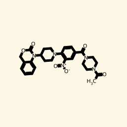 CC(=O)N1CCN(C(=O)c2ccc(N3CCC(N4C(=O)OCc5ccccc54)CC3)c([N+](=O)[O-])c2)CC1